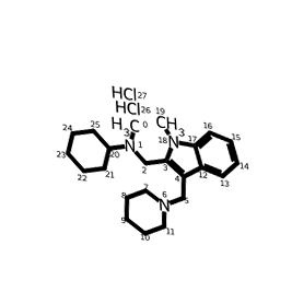 CN(Cc1c(CN2CCCCC2)c2ccccc2n1C)C1CCCCC1.Cl.Cl